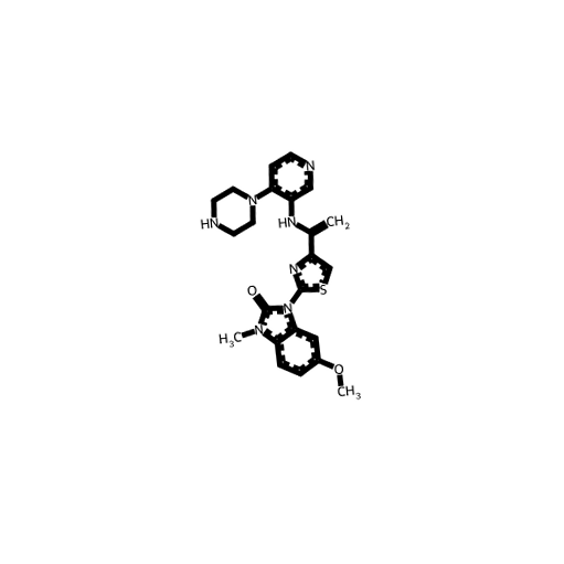 C=C(Nc1cnccc1N1CCNCC1)c1csc(-n2c(=O)n(C)c3ccc(OC)cc32)n1